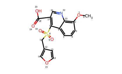 COc1cccc2c(S(=O)(=O)Cc3ccoc3)c(C(=O)O)cnc12